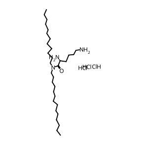 CCCCCCCCCCCCCCN(CCCCCCCCCCCC)C(=O)[C@@H](N)CCCCN.Cl.Cl.Cl